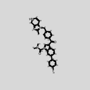 Cc1nc2c(n1Cc1ccc(C(=O)c3cn(C(=O)N(C)C)c4cc(-c5ccc(F)cc5)ccc34)cc1)C=CNC2